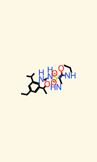 CCc1cc(C(C)C)c(NC(=O)NS(=O)(=O)/C(C=N)=C2/NCCCO2)c(C(C)C)c1